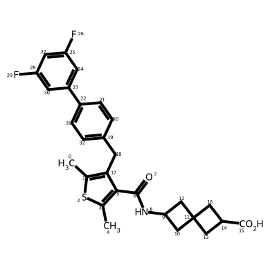 Cc1sc(C)c(C(=O)NC2CC3(C2)CC(C(=O)O)C3)c1Cc1ccc(-c2cc(F)cc(F)c2)cc1